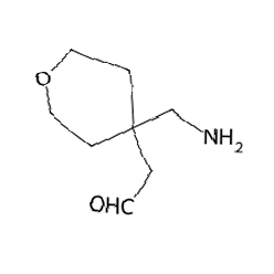 NCC1(CC=O)CCOCC1